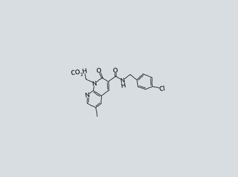 Cc1cnc2c(c1)cc(C(=O)NCc1ccc(Cl)cc1)c(=O)n2CC(=O)O